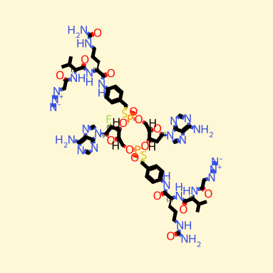 CC(C)[C@H](NC(=O)CN=[N+]=[N-])C(=O)N[C@@H](CCCNC(N)=O)C(=O)Nc1ccc(CSP2(=O)OC[C@H]3O[C@@H](n4cnc5c(N)ncnc54)C[C@@H]3OP(=O)(SCc3ccc(NC(=O)[C@H](CCCNC(N)=O)NC(=O)[C@@H](NC(=O)CN=[N+]=[N-])C(C)C)cc3)OC[C@H]3O[C@@H](n4cnc5c(N)ncnc54)[C@H](F)[C@@H]3O2)cc1